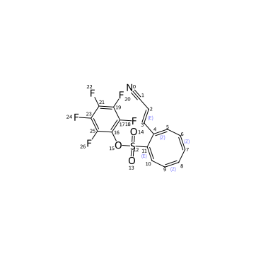 N#C/C=C/C1=C/C=C\C=C/C=C\1S(=O)(=O)Oc1c(F)c(F)c(F)c(F)c1F